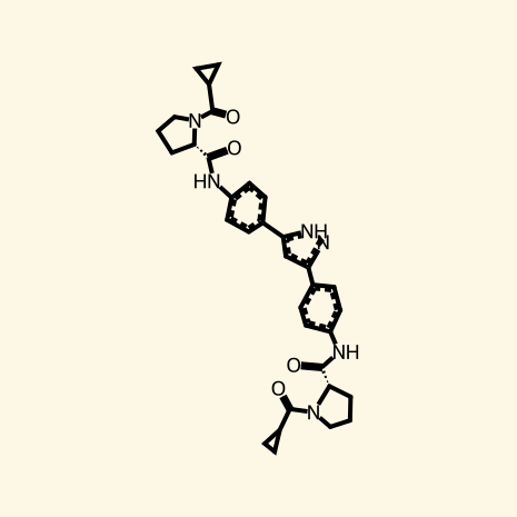 O=C(Nc1ccc(-c2cc(-c3ccc(NC(=O)[C@@H]4CCCN4C(=O)C4CC4)cc3)[nH]n2)cc1)[C@@H]1CCCN1C(=O)C1CC1